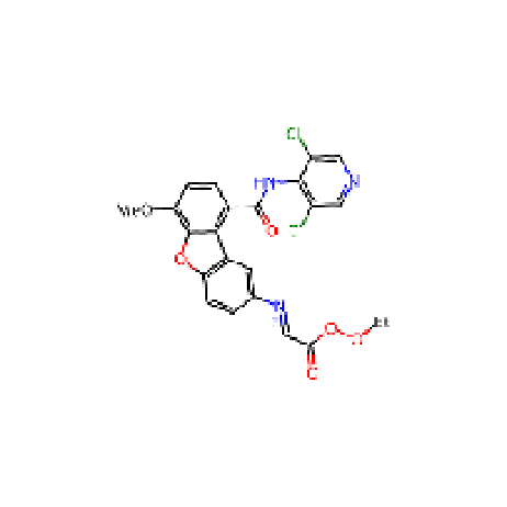 CCOOC(=O)/C=N/c1ccc2oc3c(OC)ccc(C(=O)Nc4c(Cl)cncc4Cl)c3c2c1